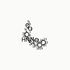 CCOC(=O)Cc1ccc(NC2=NC(=O)C(=Cc3ccc4ccccc4c3)S2)cc1